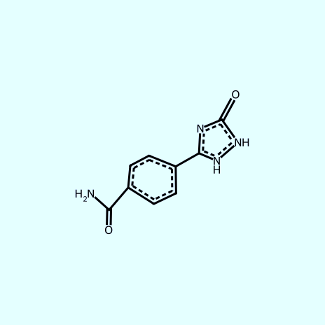 NC(=O)c1ccc(-c2nc(=O)[nH][nH]2)cc1